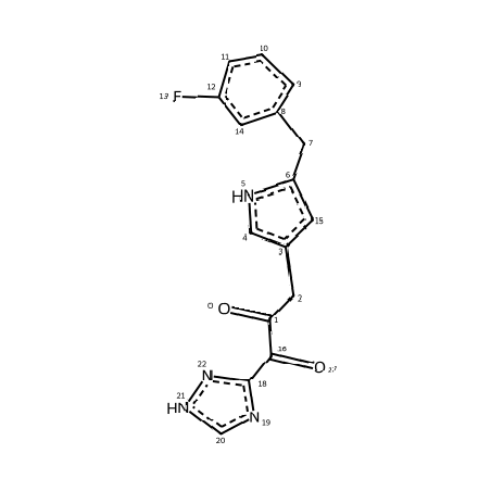 O=C(Cc1c[nH]c(Cc2cccc(F)c2)c1)C(=O)c1nc[nH]n1